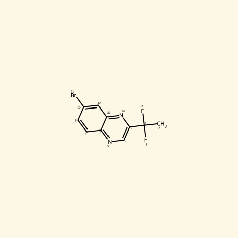 CC(F)(F)c1cnc2ccc(Br)cc2n1